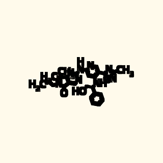 C=CCN1C(=O)c2cnc(Nc3cc(N[C@H](CO)c4ccccc4)c(-c4nc(C)no4)cn3)nc2C1(C)C